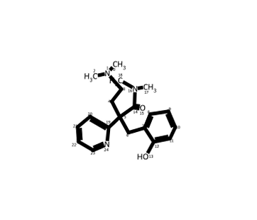 CN(C)CCC(Cc1ccccc1O)(C(=O)N(C)C)c1ccccn1